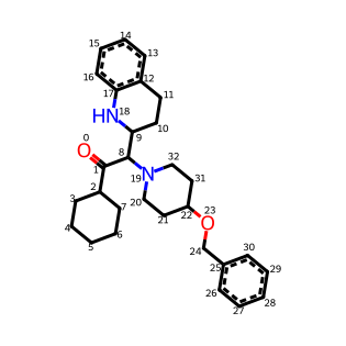 O=C(C1CCCCC1)C(C1CCc2ccccc2N1)N1CCC(OCc2ccccc2)CC1